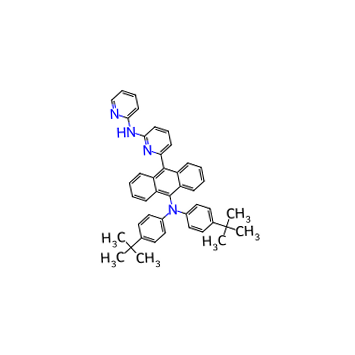 CC(C)(C)c1ccc(N(c2ccc(C(C)(C)C)cc2)c2c3ccccc3c(-c3cccc(Nc4ccccn4)n3)c3ccccc23)cc1